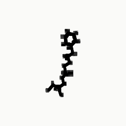 CCN(C)CCNCCSCc1ccccc1